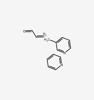 C=CC=O.Cc1cccnc1.c1ccncc1